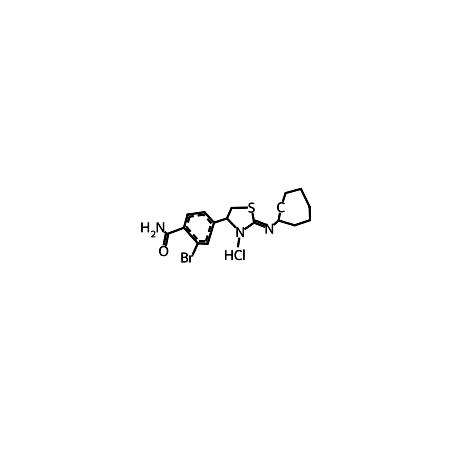 CN1C(=NC2CCCCCC2)SCC1c1ccc(C(N)=O)c(Br)c1.Cl